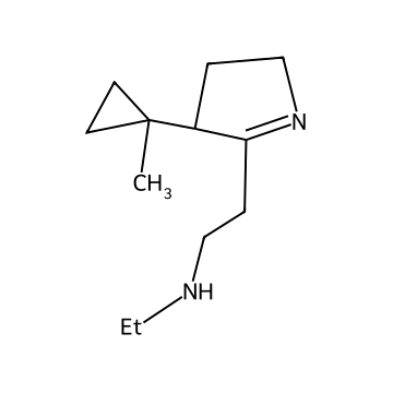 CCNCCC1=NCCC1C1(C)CC1